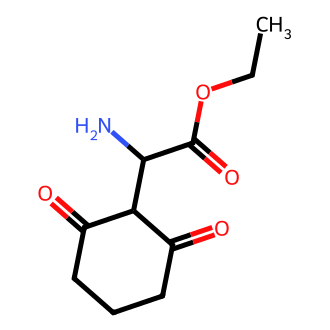 CCOC(=O)C(N)C1C(=O)CCCC1=O